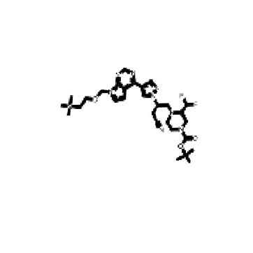 CC(C)(C)OC(=O)N1CCN(CC(CC#N)n2cc(-c3ncnc4c3ccn4COCC[Si](C)(C)C)cn2)C(C(F)F)C1